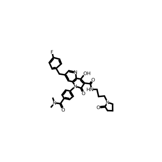 CN(C)C(=O)c1ccc(-n2c(=O)c(C(=O)NCCCN3CCCC3=O)c(O)c3ncc(Cc4ccc(F)cc4)cc32)cc1